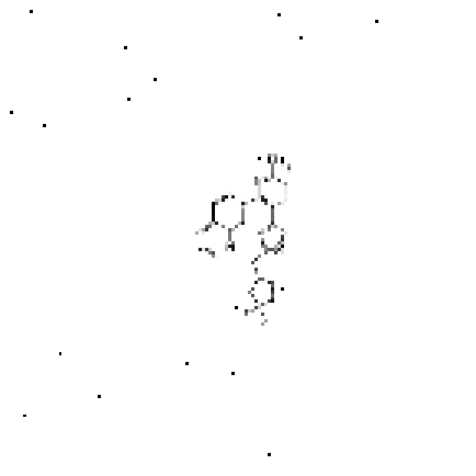 Cc1ccc(-c2cnn(C[C@H]3CCC(F)(F)C3)c2)c(-c2ccc3cccnc3c2)n1